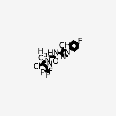 Cc1c(NC(=O)Cn2nc(C(F)(F)F)c(Cl)c2C)ncn1-c1ccc(F)cc1